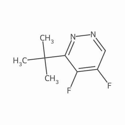 CC(C)(C)c1nncc(F)c1F